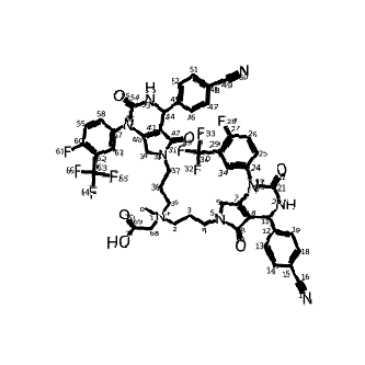 C[N+](CCCN1CC2=C(C1=O)C(c1ccc(C#N)cc1)NC(=O)N2c1ccc(F)c(C(F)(F)F)c1)(CCCN1CC2=C(C1=O)C(c1ccc(C#N)cc1)NC(=O)N2c1ccc(F)c(C(F)(F)F)c1)CC(=O)O